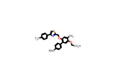 CSc1ccc(-c2cc(OCC(=O)O)c(C)cc2OCc2nc(-c3ccc(C(F)(F)F)cc3)cs2)cc1